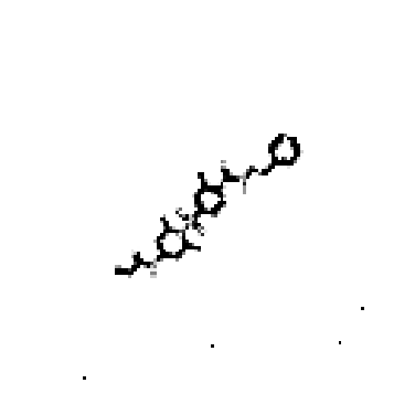 C=CC(=O)NC1CC(C)N(S(=O)(=O)c2ccc(C(=O)NCCc3ccccc3)c(C)c2)C(C)C1